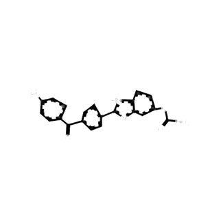 CCc1ccc(C(=O)c2ccc(-c3nc4cc(OC(N)=O)ccc4[nH]3)cc2)cc1